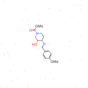 COC(=O)N1CCC(N=Cc2ccc(OC)cc2)C(O)C1